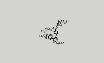 CC(=O)Nc1nc(-c2ccc(CCCNC=NC(=O)O)cc2)c(-c2ccc(S(C)(=O)=O)cc2)s1.NC(=O)O